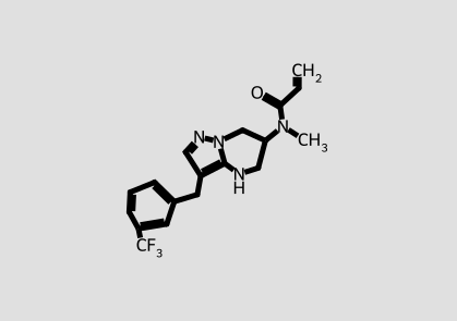 C=CC(=O)N(C)C1CNc2c(Cc3cccc(C(F)(F)F)c3)cnn2C1